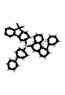 CC1(C)c2ccccc2-c2cc(N(c3ccc(-c4ccccc4)cc3)c3cc4cccc(-c5ccccc5)c4c4ccccc34)ccc21